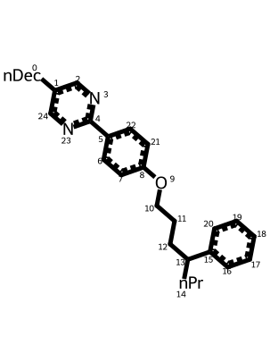 CCCCCCCCCCc1cnc(-c2ccc(OCCCC(CCC)c3ccccc3)cc2)nc1